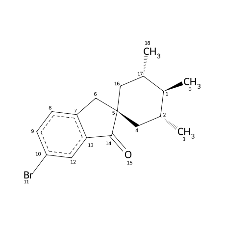 C[C@H]1[C@H](C)C[C@@]2(Cc3ccc(Br)cc3C2=O)C[C@@H]1C